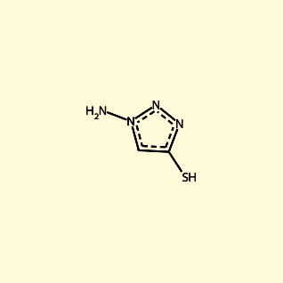 Nn1cc(S)nn1